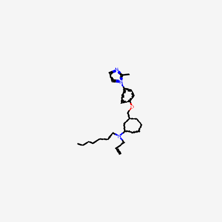 C=CCN(CCCCCCC)C1CCCCC(COc2ccc(-n3ccnc3C)cc2)C1